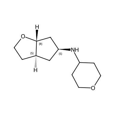 C1CC(N[C@H]2C[C@H]3CCO[C@@H]3C2)CCO1